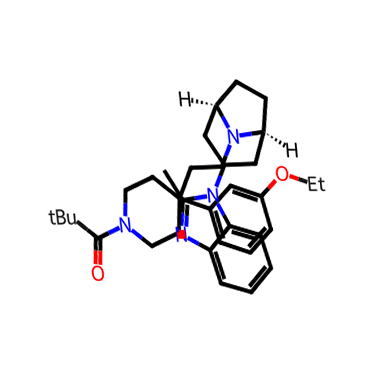 CCOc1cccc(C2(CCN3[C@@H]4CC[C@H]3CC(n3c(C)nc5ccccc53)C4)CCN(C(=O)C(C)(C)C)CC2)c1